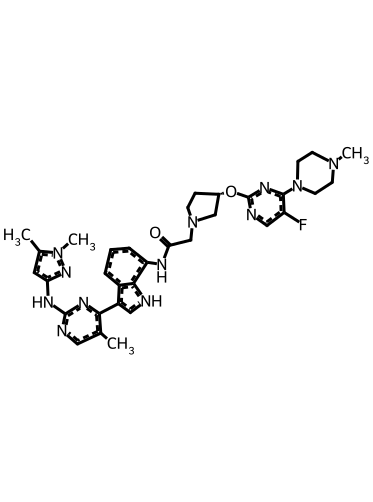 Cc1cnc(Nc2cc(C)n(C)n2)nc1-c1c[nH]c2c(NC(=O)CN3CC[C@H](Oc4ncc(F)c(N5CCN(C)CC5)n4)C3)cccc12